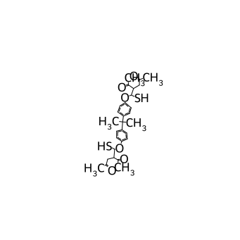 CC(=O)CC(C(C)=O)C(S)Oc1ccc(C(C)(C)c2ccc(OC(S)C(CC(C)=O)C(C)=O)cc2)cc1